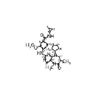 COc1cc(C(=O)NC2CC2)ccc1Nc1ncc2c(n1)N(C1CCCC1)C[C@H](C)C(=O)N2C